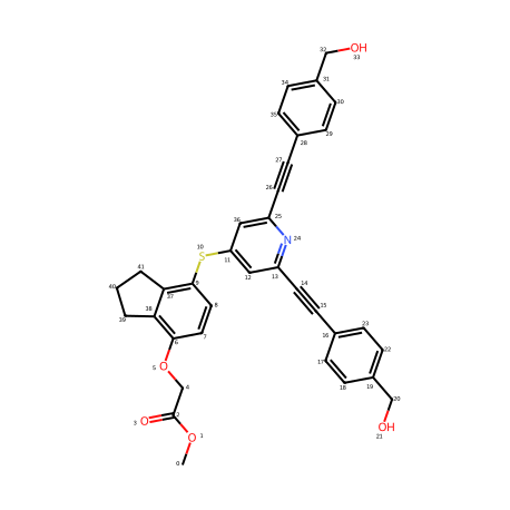 COC(=O)COc1ccc(Sc2cc(C#Cc3ccc(CO)cc3)nc(C#Cc3ccc(CO)cc3)c2)c2c1CCC2